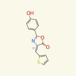 O=C1OC(c2ccc(O)cc2)=N/C1=C/c1cccs1